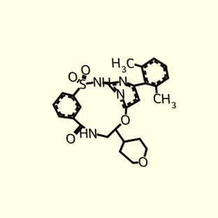 Cc1cccc(C)c1-c1cc2nc(n1)NS(=O)(=O)c1cccc(c1)C(=O)NCC(C1CCOCC1)O2